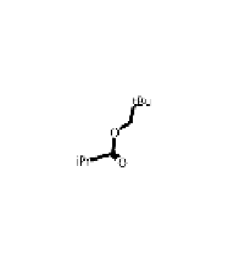 CC(C)C(=O)OCC(C)(C)C